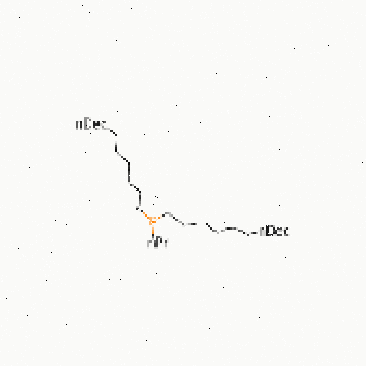 CCCCCCCCCCCCCCCCP(CCC)CCCCCCCCCCCCCCCC